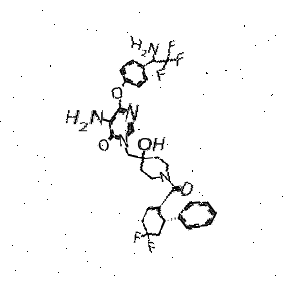 Nc1c(Oc2ccc(C(N)C(F)(F)F)cc2)ncn(CC2(O)CCN(C(=O)[C@@H]3CCC(F)(F)C[C@H]3c3ccccc3)CC2)c1=O